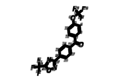 O=C(c1ccc(OC(F)(F)F)cc1)c1ccc(-c2noc(C(F)(F)F)n2)cc1